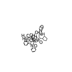 CC(C)(C)[Si](C)(C)OC(CCc1ccccc1)(CNC(=O)C(CNC(=O)N1CCOCC1)C1CCCCC1)c1nc2ccccc2o1